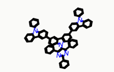 c1ccc(-c2nc(-c3ccccc3)c(-n3c4ccc(-c5ccc6c(c5)c5ccccc5n6-c5ccccc5)cc4c4cc(-c5ccc6c(c5)c5ccccc5n6-c5ccccc5)ccc43)c(-c3ccccc3)n2)cc1